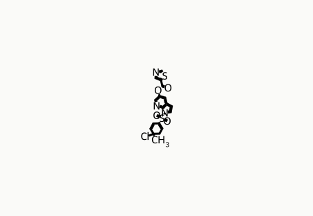 CC1(Cl)C=CC(S(=O)(=O)n2ccc3cc(OC(=O)c4cncs4)cnc32)=CC1